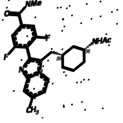 CNC(=O)c1cc(F)c(-c2nc3cc(C)ccn3c2C[C@H]2CCC[C@@H](NC(C)=O)C2)c(F)c1